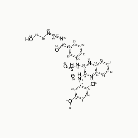 COc1ccc(Cl)c(Nc2nc3ccccc3nc2N(c2cccc(C(=O)N=[N+]=NCCO)c2)[SH](=O)=O)c1